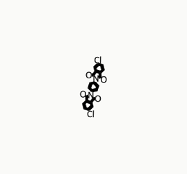 O=C1c2ccc(Cl)cc2C(=O)N1c1ccc(N2C(=O)c3ccc(Cl)cc3C2=O)cc1